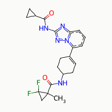 CC1(C(=O)NC2CC=C(c3cccc4nc(NC(=O)C5CC5)nn34)CC2)CC1(F)F